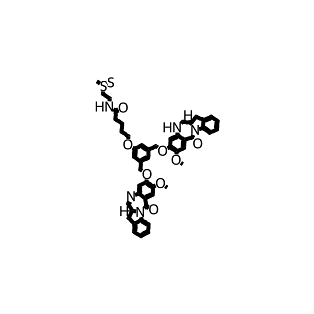 COc1cc2c(cc1OCc1cc(COc3cc4c(cc3OC)C(=O)N3c5ccccc5C[C@H]3CN4)cc(OCCCCC(=O)NCCS(C)=S)c1)N=C[C@@H]1Cc3ccccc3N1C2=O